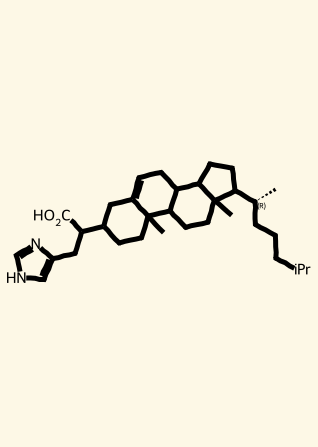 CC(C)CCC[C@@H](C)C1CCC2C3CC=C4CC(C(Cc5c[nH]cn5)C(=O)O)CCC4(C)C3CCC21C